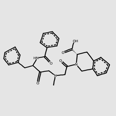 CN(CC(=O)C(Cc1ccccc1)NC(=O)c1ccccc1)CC(=O)N1Cc2ccccc2C[C@H]1C(=O)O